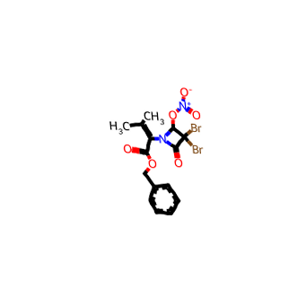 CC(C)=C(C(=O)OCc1ccccc1)N1C(=O)C(Br)(Br)C1O[N+](=O)[O-]